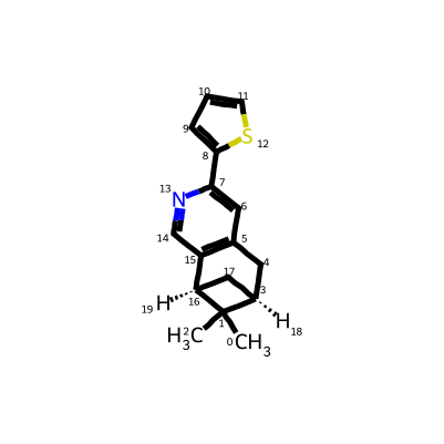 CC1(C)[C@@H]2Cc3cc(-c4cccs4)ncc3[C@H]1C2